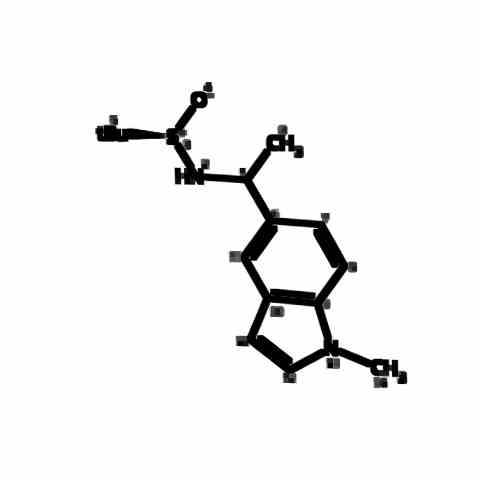 CC(N[S@+]([O-])C(C)(C)C)c1ccc2c(ccn2C)c1